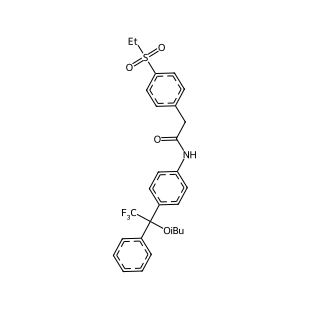 CCS(=O)(=O)c1ccc(CC(=O)Nc2ccc(C(OCC(C)C)(c3ccccc3)C(F)(F)F)cc2)cc1